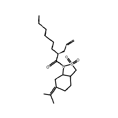 C=CC[C@H](CCCCCC)C(=O)N1C2CC(=C(C)C)CCC2CS1(=O)=O